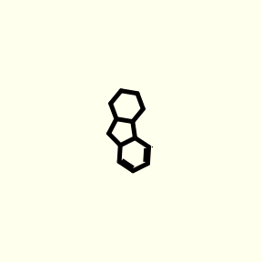 [C]1=CC=CC2CC3CCCCC3C12